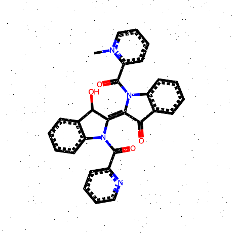 C[n+]1ccccc1C(=O)N1/C(=C2\C(O)c3ccccc3N2C(=O)c2ccccn2)C(=O)c2ccccc21